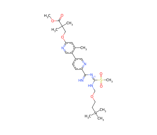 COC(=O)C(C)(C)COc1cc(C)c(-c2ccc(C(=N)/N=C(\NCOCC[Si](C)(C)C)S(C)(=O)=O)nc2)cn1